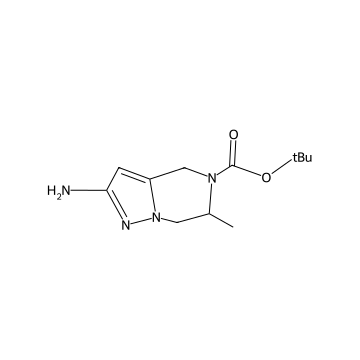 CC1Cn2nc(N)cc2CN1C(=O)OC(C)(C)C